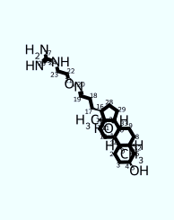 C[C@]12CC[C@H](O)C[C@H]1CC[C@@H]1[C@@H]2CC[C@]2(C)[C@@H](CC/C=N/OCCNC(=N)N)CC[C@]12O